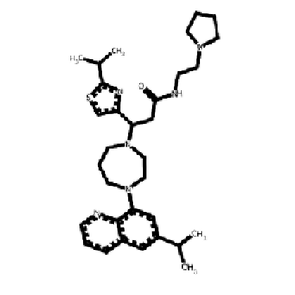 CC(C)c1cc(N2CCCN(C(CC(=O)NCCN3CCCC3)c3csc(C(C)C)n3)CC2)c2ncccc2c1